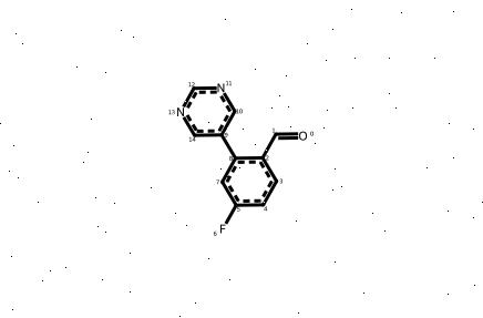 O=Cc1ccc(F)cc1-c1cncnc1